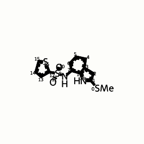 CSc1cc2cccc(NS(=O)(=O)c3cccs3)c2[nH]1